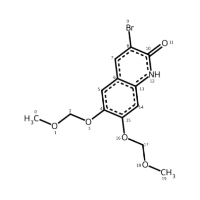 COCOc1cc2cc(Br)c(=O)[nH]c2cc1OCOC